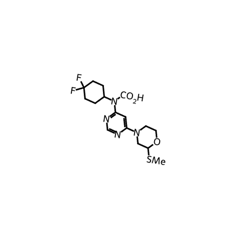 CSC1CN(c2cc(N(C(=O)O)C3CCC(F)(F)CC3)ncn2)CCO1